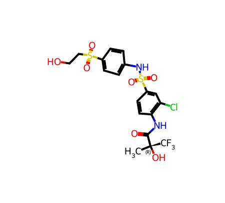 C[C@@](O)(C(=O)Nc1ccc(S(=O)(=O)Nc2ccc(S(=O)(=O)CCO)cc2)cc1Cl)C(F)(F)F